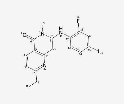 CCc1ccc2c(=O)n(C)c(Nc3ccc(I)cc3F)cc2n1